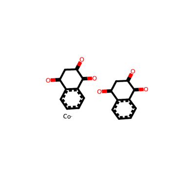 O=C1CC(=O)c2ccccc2C1=O.O=C1CC(=O)c2ccccc2C1=O.[Co]